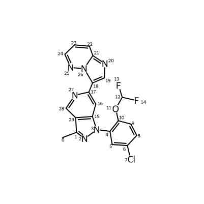 Cc1nn(-c2cc(Cl)ccc2OC(F)F)c2cc(-c3cnc4cccnn34)ncc12